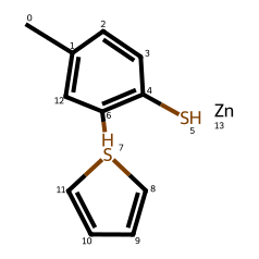 Cc1ccc(S)c([SH]2C=CC=C2)c1.[Zn]